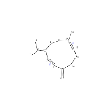 C=C1/C=C\C(C(C)C)CC/C(C)=C\CC1